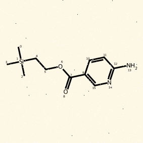 C[Si](C)(C)CCOC(=O)c1ccc(N)nc1